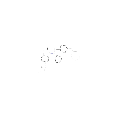 CC(C)S(=O)(=O)Nc1ccc2c(c1)/C(=C(/Nc1ccc(CN3CCCCCC3)cc1)c1ccccc1)C(=O)N2